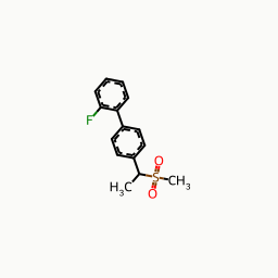 CC(c1ccc(-c2ccccc2F)cc1)S(C)(=O)=O